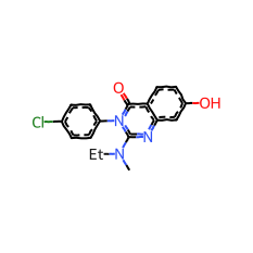 CCN(C)c1nc2cc(O)ccc2c(=O)n1-c1ccc(Cl)cc1